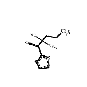 CC(C#N)(CCC(=O)O)C(=O)c1cccs1